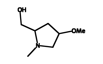 COC1CC(CO)N(C)C1